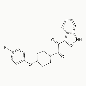 O=C(C(=O)N1CCC(Oc2ccc(F)cc2)CC1)c1c[nH]c2ccccc12